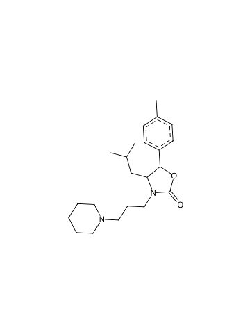 Cc1ccc(C2OC(=O)N(CCCN3CCCCC3)C2CC(C)C)cc1